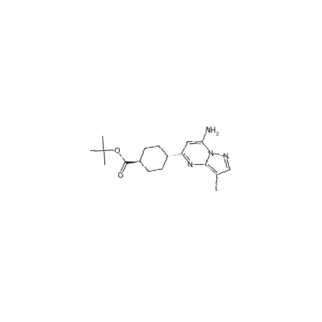 CC(C)(C)OC(=O)[C@H]1CC[C@H](c2cc(N)n3ncc(I)c3n2)CC1